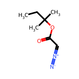 CCC(C)(C)OC(=O)C=[N+]=[N-]